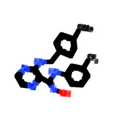 COc1ccc(CNc2nccnc2/C(=N/O)Nc2cccc(C(F)(F)F)c2)cc1